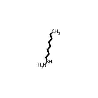 CCCCCCCCBN